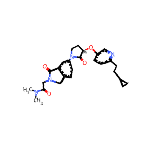 CN(C)C(=O)CN1Cc2ccc(N3CC[C@@H](Oc4ccc(CCC5CC5)nc4)C3=O)cc2C1=O